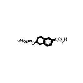 CCCCCCCCCCOC1CCc2cc(C(=O)O)ccc2C1